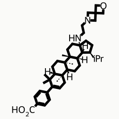 CC(C)[C@@H]1CC[C@]2(NCCN3CC4(COC4)C3)CC[C@]3(C)[C@H](CC[C@@H]4[C@@]5(C)CC=C(c6ccc(C(=O)O)cc6)C(C)(C)[C@@H]5CC[C@]43C)[C@@H]12